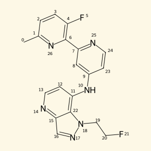 Cc1ccc(F)c(-c2cc(Nc3ccnc4cnn(CCF)c34)ccn2)n1